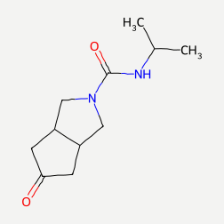 CC(C)NC(=O)N1CC2CC(=O)CC2C1